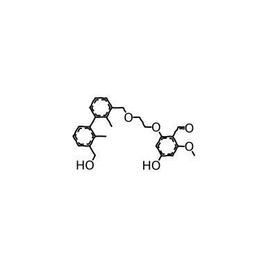 COc1cc(O)cc(OCCOCc2cccc(-c3cccc(CO)c3C)c2C)c1C=O